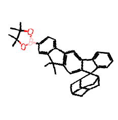 CC1(C)c2cc(B3OC(C)(C)C(C)(C)O3)ccc2-c2cc3c(cc21)C1(c2ccccc2-3)C2CC3CC(C2)CC1C3